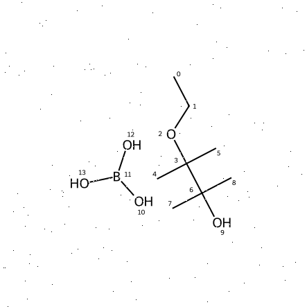 CCOC(C)(C)C(C)(C)O.OB(O)O